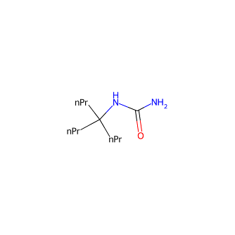 CCCC(CCC)(CCC)NC(N)=O